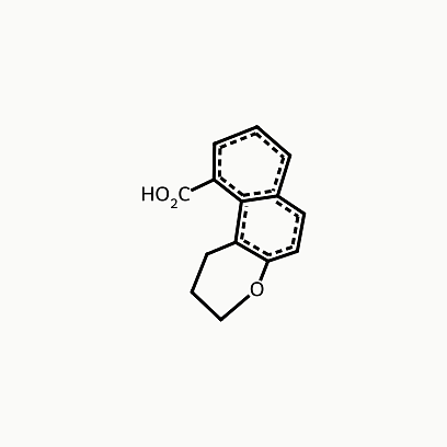 O=C(O)c1cccc2ccc3c(c12)CCCO3